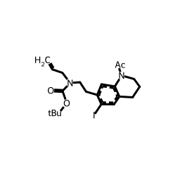 C=CCN(CCc1cc2c(cc1I)CCCN2C(C)=O)C(=O)OC(C)(C)C